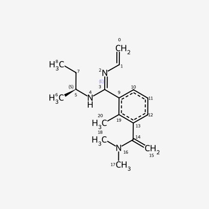 C=C/N=C(/N[C@@H](C)CC)c1cccc(C(=C)N(C)C)c1C